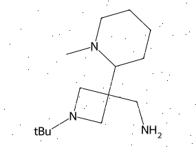 CN1CCCCC1C1(CN)CN(C(C)(C)C)C1